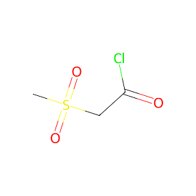 CS(=O)(=O)CC(=O)Cl